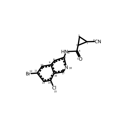 N#CC1CC1C(=O)Nc1cc2cc(Br)cc(Cl)c2cn1